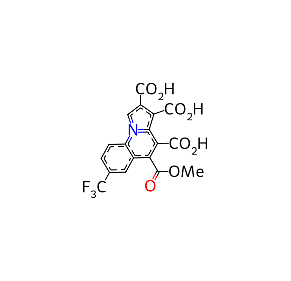 COC(=O)c1c(C(=O)O)c2c(C(=O)O)c(C(=O)O)cn2c2ccc(C(F)(F)F)cc12